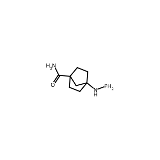 NC(=O)C12CCC(NP)(CC1)C2